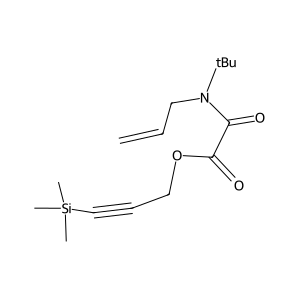 C=CCN(C(=O)C(=O)OCC#C[Si](C)(C)C)C(C)(C)C